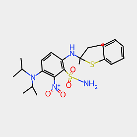 CCC(C)(Nc1ccc(N(C(C)C)C(C)C)c([N+](=O)[O-])c1S(N)(=O)=O)Sc1ccccc1